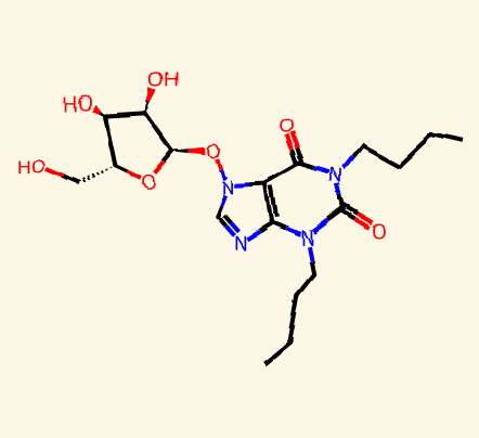 CCCCn1c(=O)c2c(ncn2O[C@H]2O[C@H](CO)[C@@H](O)[C@H]2O)n(CCCC)c1=O